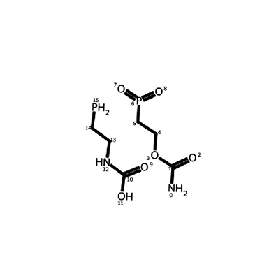 NC(=O)OCCP(=O)=O.O=C(O)NCCP